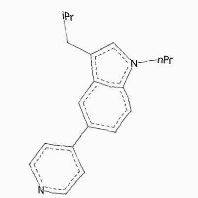 CCCn1cc(CC(C)C)c2cc(-c3ccncc3)ccc21